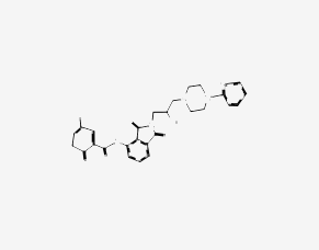 O=C(Nc1cccc2c1C(=O)N(CC(O)CN1CCN(c3ccccn3)CC1)C2=O)C1=CC(Cl)=CCC1=S